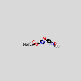 COCC(=O)OCCN1CCN(C(=O)c2ccc(CNC(=O)C(C)(C)C)cc2)CC1